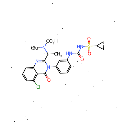 CC(c1nc2cccc(Cl)c2c(=O)n1-c1cccc(NC(=O)NS(=O)(=O)C2CC2)c1)N(C(=O)O)C(C)(C)C